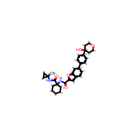 N#CC1(NC(=O)C2(NC(=O)c3cc4ccc(-c5ccc(C6(O)CCOCC6)cc5)cc4o3)CCCCC2)CC1